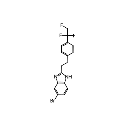 FCC(F)(F)c1ccc(CCc2nc3cc(Br)ccc3[nH]2)cc1